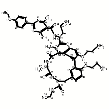 CCCCOc1ccc(-c2nc(C)c(C(=O)N[C@@H](CCN)C(=O)N(C)[C@@H]3C(=O)N[C@@H](C)C(=O)N[C@H](C(=O)NCC#N)Cc4ccc(OCCN)c(c4)-c4cc3ccc4OCCN)c(C)n2)cc1